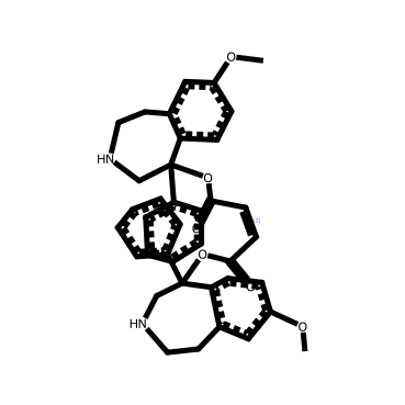 COc1ccc2c(c1)CCNCC2(OC(=O)/C=C\C(=O)OC1(c2ccccc2)CNCCc2cc(OC)ccc21)c1ccccc1